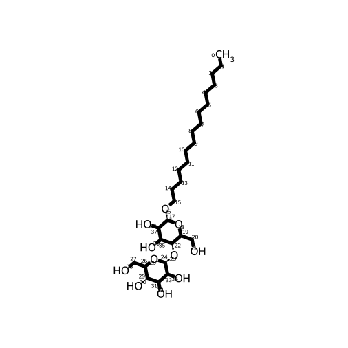 CCCCCCCCCCCCCCCCO[C@@H]1OC(CO)[C@H](O[C@H]2OC(CO)[C@@H](O)C(O)C2O)C(O)C1O